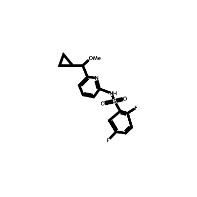 COC(c1cccc(NS(=O)(=O)c2cc(F)ccc2F)n1)C1CC1